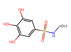 CCCCCCCCNS(=O)(=O)c1cc(O)c(O)c(O)c1